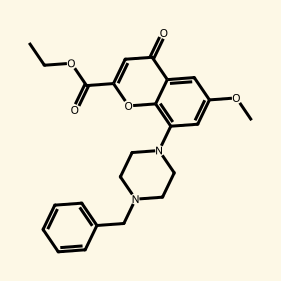 CCOC(=O)c1cc(=O)c2cc(OC)cc(N3CCN(Cc4ccccc4)CC3)c2o1